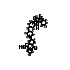 O=C(c1ccc(N2CCC(CC3CCN(C(=O)[C@](O)(c4ccccc4)C(F)(F)F)CC3)CC2)cc1Cl)N1CCC[C@H]1CO